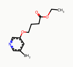 Bc1cncc(OCCCC(=O)OCC)c1